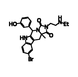 CCNCCN1C(=O)N2C(c3cccc(O)c3)c3[nH]c4ccc(Br)cc4c3CC2(C)C1=O